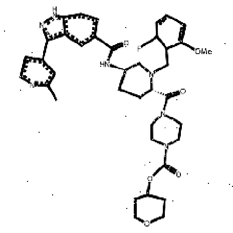 COC1=CC=CC(F)C1CN1C[C@H](NC(=O)c2ccc3[nH]nc(-c4ccnc(C)c4)c3c2)CC[C@H]1C(=O)N1CCN(C(=O)OC2CCOCC2)CC1